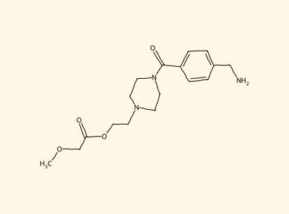 COCC(=O)OCCN1CCN(C(=O)c2ccc(CN)cc2)CC1